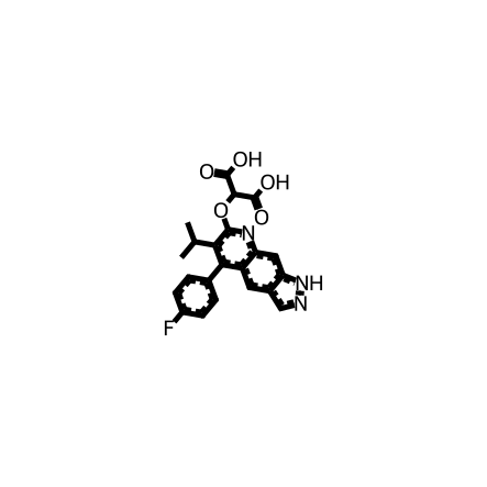 CC(C)c1c(OC(C(=O)O)C(=O)O)nc2cc3[nH]ncc3cc2c1-c1ccc(F)cc1